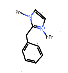 CCC[n+]1ccn(C(C)C)c1Cc1ccccc1